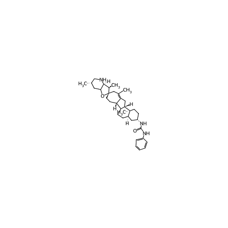 CC1=C2C[C@H]3C(CC[C@@H]4C[C@@H](NC(=O)Nc5ccccc5)CC[C@@]43C)[C@@H]2CC[C@@]2(C1)OC1C[C@H](C)CN[C@H]1[C@H]2C